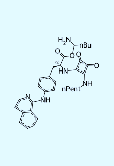 CCCCCNc1c(N[C@@H](Cc2ccc(Nc3nccc4ccccc34)cc2)C(=O)OC(N)CCCC)c(=O)c1=O